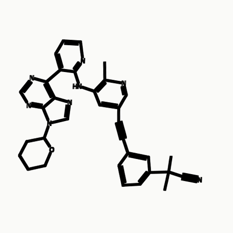 Cc1ncc(C#Cc2cccc(C(C)(C)C#N)c2)cc1Nc1ncccc1-c1ncnc2c1ncn2C1CCCCO1